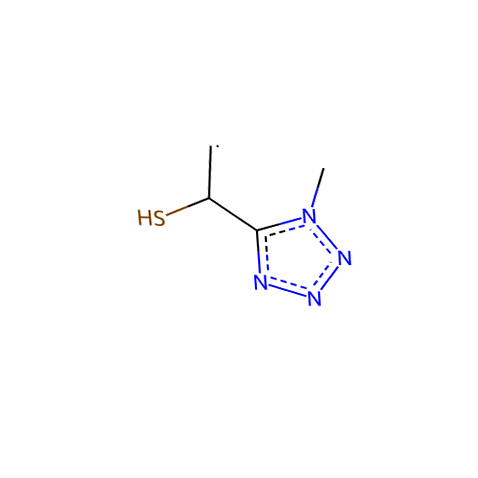 [CH2]C(S)c1nnnn1C